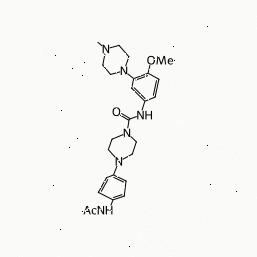 COc1ccc(NC(=O)N2CCN(c3ccc(NC(C)=O)cc3)CC2)cc1N1CCN(C)CC1